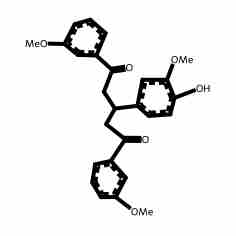 COc1cccc(C(=O)CC(CC(=O)c2cccc(OC)c2)c2ccc(O)c(OC)c2)c1